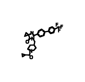 O=C(C1CC1)N1CCC(CN2C(=O)C3(CC3)N=C2c2ccc(-c3ccc(C(F)(F)F)cc3)cc2)CC1